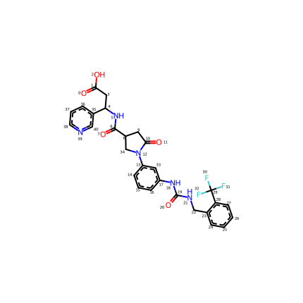 O=C(O)CC(NC(=O)C1CC(=O)N(c2cccc(NC(=O)NCc3ccccc3C(F)(F)F)c2)C1)c1cccnc1